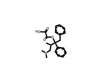 CC(CN(C)C)C(Cc1ccccc1)(OC(=O)C(=O)O)c1ccccc1